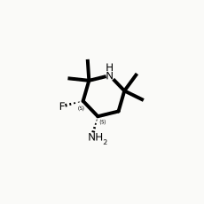 CC1(C)C[C@H](N)[C@H](F)C(C)(C)N1